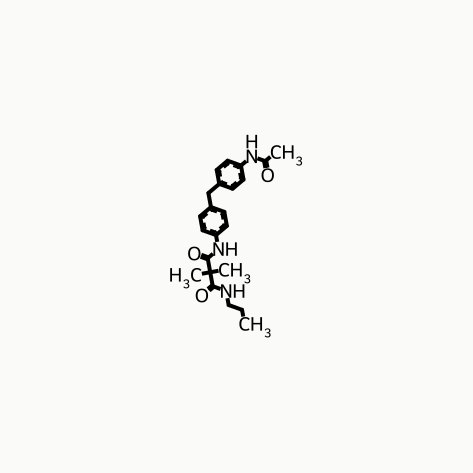 CCCNC(=O)C(C)(C)C(=O)Nc1ccc(Cc2ccc(NC(C)=O)cc2)cc1